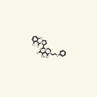 O=C1c2c(O)c(=O)nc(C3CCCN3C(=O)c3c(Cl)cccc3Cl)n2CCN1CCOc1ccccc1